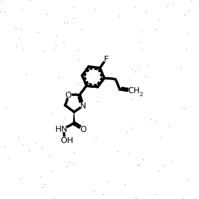 C=CCc1cc(C2=N[C@@H](C(=O)NO)CO2)ccc1F